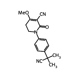 COC1=C(C#N)C(=O)N(c2ccc(C(C)(C)C#N)cc2)CC1